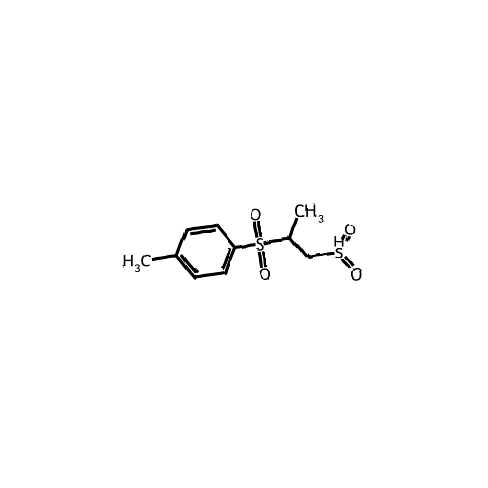 Cc1ccc(S(=O)(=O)C(C)C[SH](=O)=O)cc1